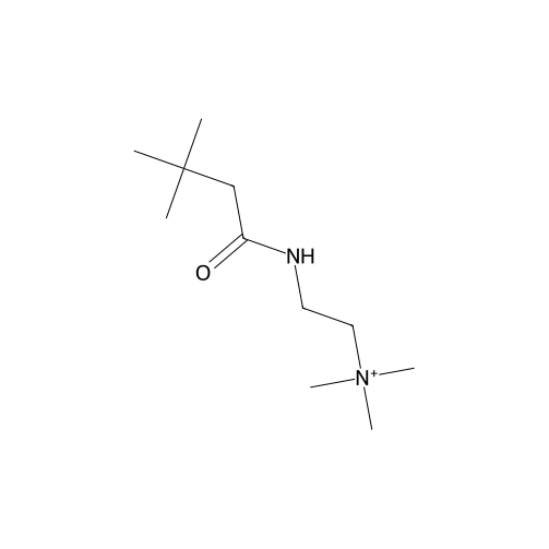 CC(C)(C)CC(=O)NCC[N+](C)(C)C